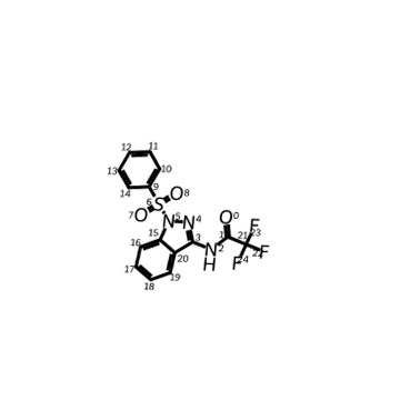 O=C(Nc1nn(S(=O)(=O)c2ccccc2)c2ccccc12)C(F)(F)F